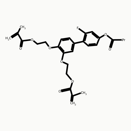 C=C(C)C(=O)OCCOc1ccc(-c2ccc(OC(=O)C(C)C)cc2F)cc1OCCOC(=O)C(=C)C